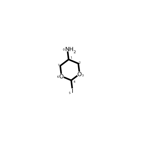 NC1COC(I)OC1